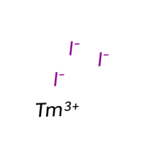 [I-].[I-].[I-].[Tm+3]